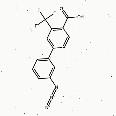 [N-]=[N+]=Nc1cccc(-c2ccc(C(=O)O)c(C(F)(F)F)c2)c1